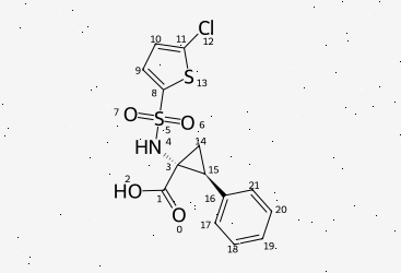 O=C(O)[C@@]1(NS(=O)(=O)c2ccc(Cl)s2)C[C@H]1c1ccccc1